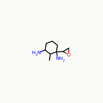 CC1C(N)CCCC1(N)C1CO1